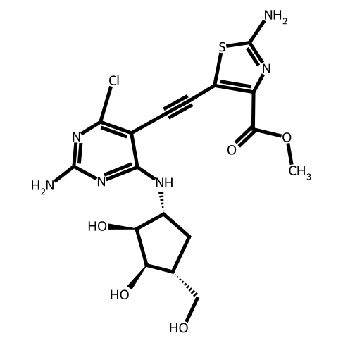 COC(=O)c1nc(N)sc1C#Cc1c(Cl)nc(N)nc1N[C@@H]1C[C@H](CO)[C@@H](O)[C@H]1O